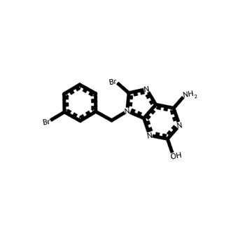 Nc1nc(O)nc2c1nc(Br)n2Cc1cccc(Br)c1